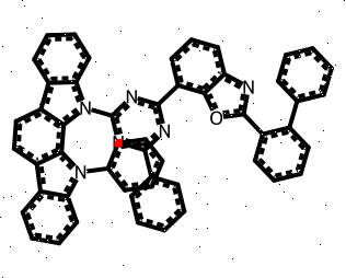 c1ccc(-c2nc(-c3cccc4nc(-c5ccccc5-c5ccccc5)oc34)nc(-n3c4ccccc4c4ccc5c6ccccc6n(-c6ccccc6)c5c43)n2)cc1